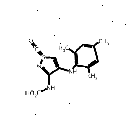 Cc1cc(C)c(NC2=CS(=C=O)N=C2NC(=O)O)c(C)c1